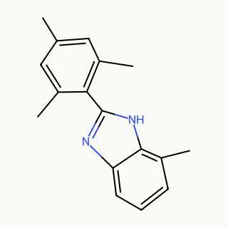 Cc1cc(C)c(-c2nc3cccc(C)c3[nH]2)c(C)c1